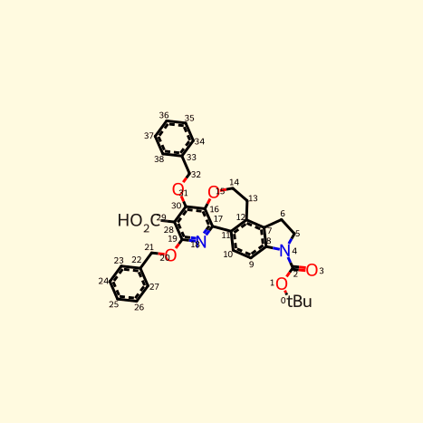 CC(C)(C)OC(=O)N1CCc2c1ccc1c2CCOc2c-1nc(OCc1ccccc1)c(C(=O)O)c2OCc1ccccc1